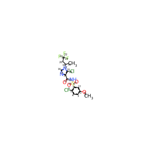 COc1ccc(Cl)c(S(=O)(=O)NC(=O)c2ncn(C(C)CC(F)(F)F)c2Cl)c1